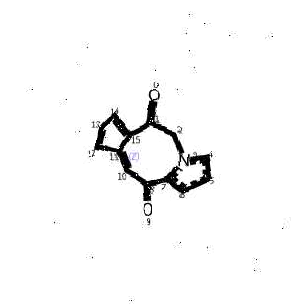 O=C1Cn2cccc2C(=O)/C=C2/C=CC=C12